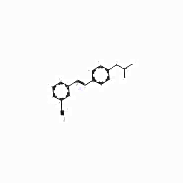 CC(C)Cc1ccc(/C=C/c2cccc(C#N)c2)cc1